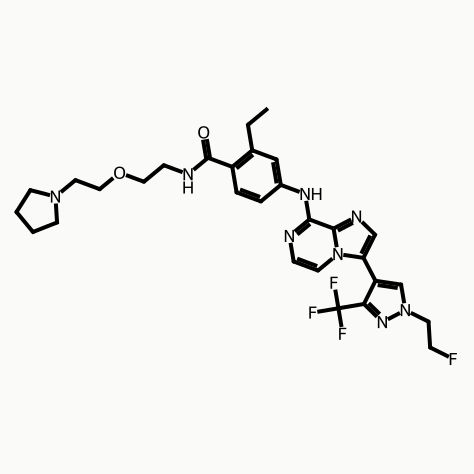 CCc1cc(Nc2nccn3c(-c4cn(CCF)nc4C(F)(F)F)cnc23)ccc1C(=O)NCCOCCN1CCCC1